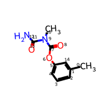 Cc1cccc(OC(=O)N(C)C(N)=O)c1